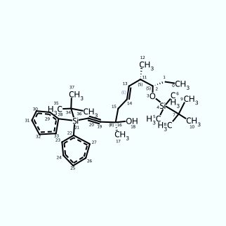 CC[C@H](O[Si](C)(C)C(C)(C)C)[C@@H](C)/C=C/C[C@@](C)(O)C#C[Si](c1ccccc1)(c1ccccc1)C(C)(C)C